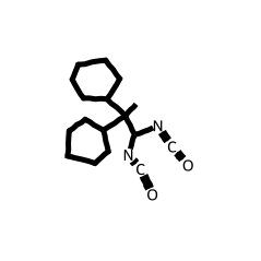 CC(C1CCCCC1)(C1CCCCC1)C(N=C=O)N=C=O